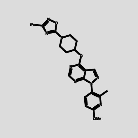 COc1ccc(-n2ncc3c(OC4CCN(c5nc(C(C)C)no5)CC4)ncnc32)c(C)n1